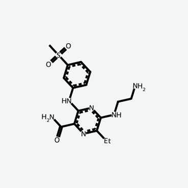 CCc1nc(C(N)=O)c(Nc2cccc(S(C)(=O)=O)c2)nc1NCCN